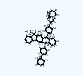 CC1(C)c2ccccc2-c2cc3c(-c4ccc(-c5ccccc5)cc4)c4ccccc4c(-c4ccc(-c5cn6cccnc6n5)cc4)c3cc21